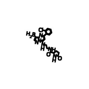 Bc1cnn2c(NCCNC(=O)C3CCC(=O)N3)cc(-c3ccccc3Cl)nc12